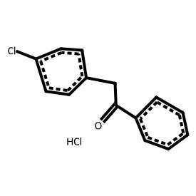 Cl.O=C(Cc1ccc(Cl)cc1)c1ccccc1